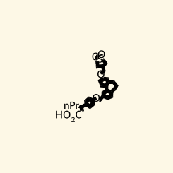 CCCC(CC(=O)O)c1ccc(OCc2ccc3c(c2)-c2ccc(OCC4CCS(=O)(=O)CC4)cc2CCC3)cc1